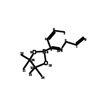 C=CC/N=C(\C=C/C)B1OC(C)(C)C(C)(C)O1